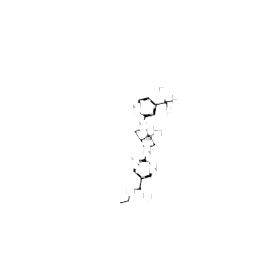 CCOC(=O)c1cnc(N2C[C@H]3C2CN3c2cc(C(F)(F)F)ccn2)nc1